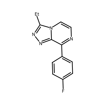 CCc1nnc2c(-c3ccc(F)cc3)nccn12